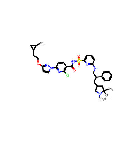 CC1(C)CC(CC(CNc2cccc(S(=O)(=O)NC(=O)c3ccc(-n4ccc(OCCC5CC5C(F)(F)F)n4)nc3Cl)n2)c2ccccc2)CN1C(=O)O